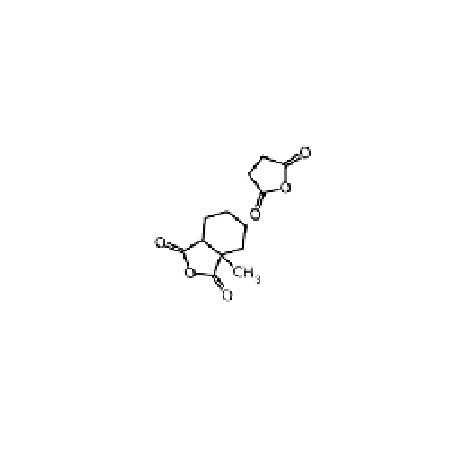 CC12CCCCC1C(=O)OC2=O.O=C1CCC(=O)O1